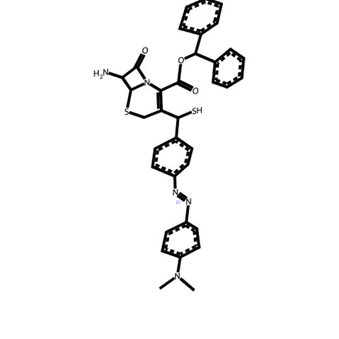 CN(C)c1ccc(/N=N/c2ccc(C(S)C3=C(C(=O)OC(c4ccccc4)c4ccccc4)N4C(=O)C(N)C4SC3)cc2)cc1